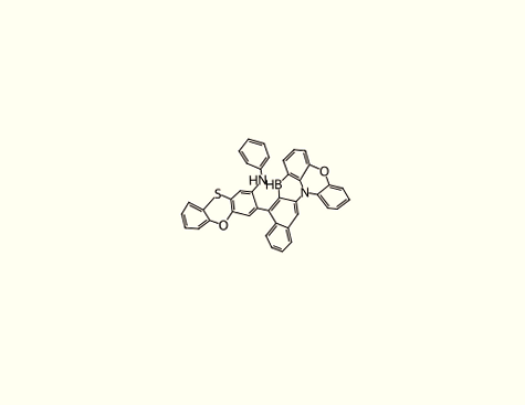 B1c2cccc3c2N(c2ccccc2O3)c2cc3ccccc3c(-c3cc4c(cc3Nc3ccccc3)Sc3ccccc3O4)c21